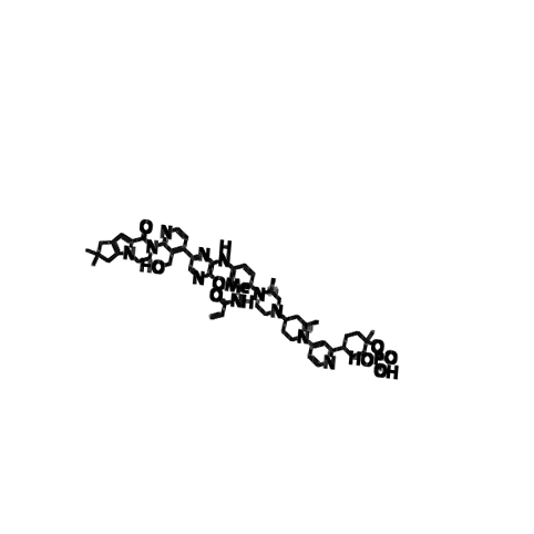 C=CC(=O)Nc1cc(Nc2nc(-c3ccnc(N4CCn5c(cc6c5CC(C)(C)C6)C4=O)c3CO)cnc2OC)ccc1N1CCN(C2CCN(c3ccnc(C4CCC(C)(OP(=O)(O)O)CC4)c3)[C@H](C)C2)C[C@@H]1C